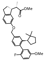 COC(=O)[C@@H](C)[C@H]1CCc2ccc(OCc3ccc(-c4cc(OC)ccc4F)c([C@@H]4CCCC4(C)C)c3)cc21